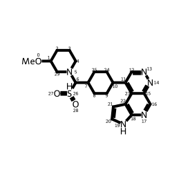 COC1CCCN(C(C2CCC(c3cnnc4cnc5[nH]ccc5c34)CC2)[SH](=O)=O)C1